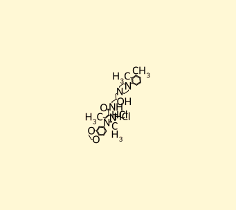 Cc1cccc(N2CCN(CC(O)CNC(=O)c3nc(C)n(-c4ccc5c(c4)OCCO5)c3C)CC2)c1C.Cl.Cl